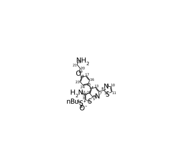 CCCC[S+]([O-])c1sc2nc(-c3nccs3)cc(-c3ccc(OCCN)cc3)c2c1N